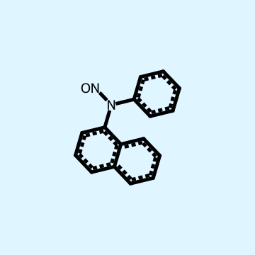 O=NN(c1ccccc1)c1cccc2ccccc12